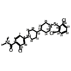 CN(C)C(=O)c1ccc(N2CCC(C3CCN(Sc4c(Cl)cccc4Cl)CC3)CC2)cc1Cl